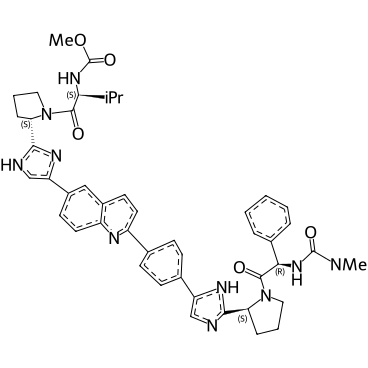 CNC(=O)N[C@@H](C(=O)N1CCC[C@H]1c1ncc(-c2ccc(-c3ccc4cc(-c5c[nH]c([C@@H]6CCCN6C(=O)[C@@H](NC(=O)OC)C(C)C)n5)ccc4n3)cc2)[nH]1)c1ccccc1